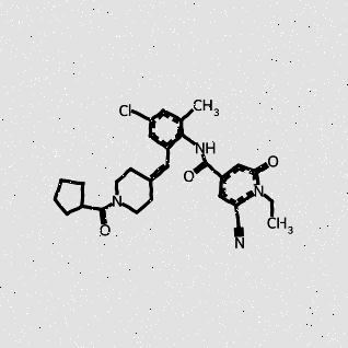 CCn1c(C#N)cc(C(=O)Nc2c(C)cc(Cl)cc2C=C2CCN(C(=O)C3CCCC3)CC2)cc1=O